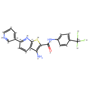 Nc1c(C(=O)Nc2ccc(C(F)(F)F)cc2)sc2nc(-c3cccnc3)ccc12